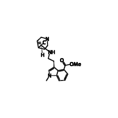 COC(=O)c1cccc2c1c(CCN[C@@H]1CN3CCC1CC3)cn2C